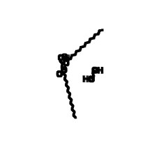 CCCCCCCCCCCCCCCC(=O)OCC(CO)OC(=O)CCCCCCCCCCCCCCC.OCCO